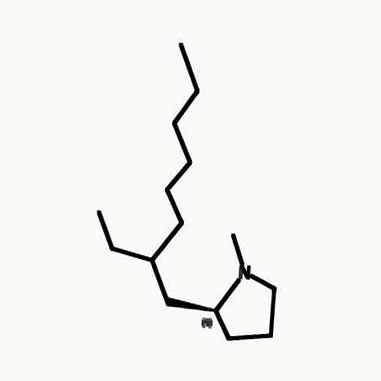 CCCCCCC(CC)C[C@@H]1CCCN1C